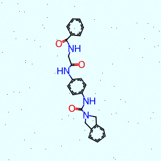 O=C(CNC(=O)c1ccccc1)Nc1ccc(NC(=O)N2Cc3ccccc3C2)cc1